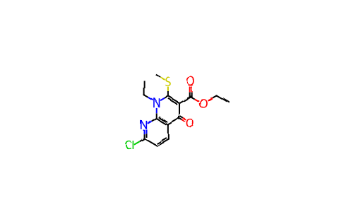 CCOC(=O)c1c(SC)n(CC)c2nc(Cl)ccc2c1=O